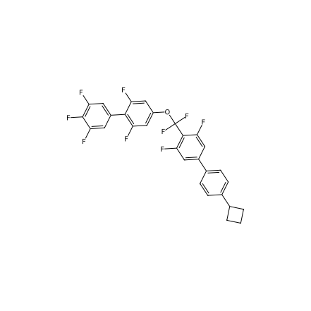 Fc1cc(-c2c(F)cc(OC(F)(F)c3c(F)cc(-c4ccc(C5CCC5)cc4)cc3F)cc2F)cc(F)c1F